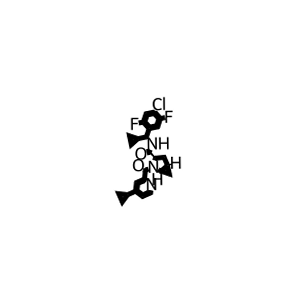 O=C(N[C@@H](c1cc(F)c(Cl)cc1F)C1CC1)[C@H]1C[C@H]2C[C@H]2N1C(=O)c1cc(C2CC2)ccn1